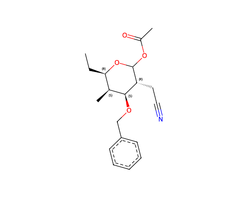 CC[C@H]1OC(OC(C)=O)[C@H](CC#N)[C@@H](OCc2ccccc2)[C@H]1C